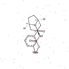 CC(C)(C)OC(=O)N[C@H]1C[C@H]2CC[C@@H](C1)N2C(=O)c1cccc(C#N)c1